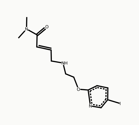 CN(C)C(=O)/C=C/CNCCOc1ccc(I)cn1